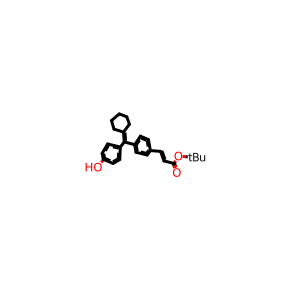 CC(C)(C)OC(=O)C=Cc1ccc(C(=C2CCCCC2)c2ccc(O)cc2)cc1